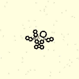 C=C1/C=C\C=C/C/C=C\C(N(c2ccc(C3(c4ccc(N(c5ccc6ccccc6c5)c5ccc6ccccc6c5)cc4)c4ccccc4-c4ccccc43)cc2)c2ccc3ccccc3c2)=C/1